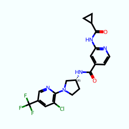 O=C(N[C@@H]1CCN(c2ncc(C(F)(F)F)cc2Cl)C1)c1ccnc(NC(=O)C2CC2)c1